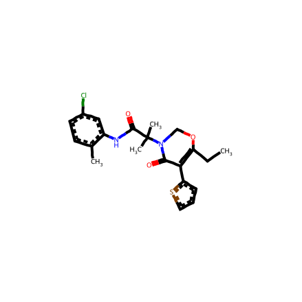 CCC1=C(c2cccs2)C(=O)N(C(C)(C)C(=O)Nc2cc(Cl)ccc2C)CO1